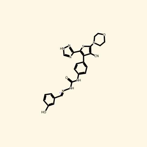 N#Cc1c(N2CCOCC2)sc(-c2nc[nH]n2)c1-c1ccc(NC(=O)N/N=C/c2cccc(O)c2)cc1